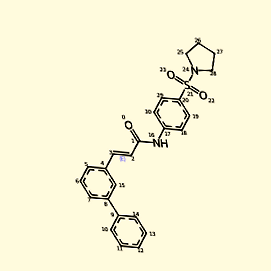 O=C(/C=C/c1cccc(-c2ccccc2)c1)Nc1ccc(S(=O)(=O)N2CCCC2)cc1